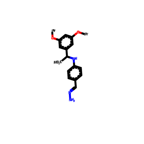 CC(C)Oc1cc(OC(C)C)cc(C(Nc2ccc(C=NN)cc2)C(=O)O)c1